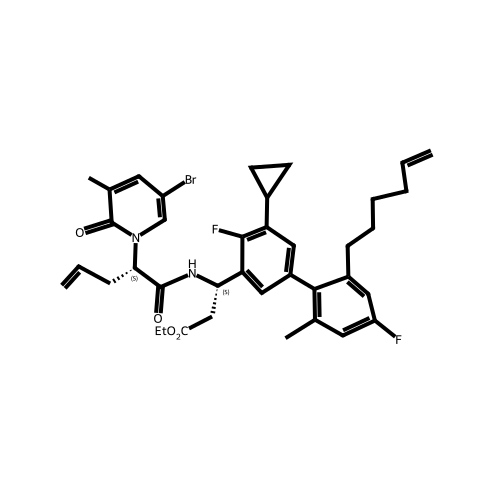 C=CCCCCc1cc(F)cc(C)c1-c1cc(C2CC2)c(F)c([C@H](CC(=O)OCC)NC(=O)[C@H](CC=C)n2cc(Br)cc(C)c2=O)c1